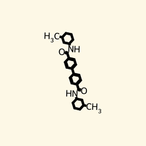 CC1CCCC(NC(=O)c2ccc(-c3ccc(C(=O)NC4CCCC(C)C4)cc3)cc2)C1